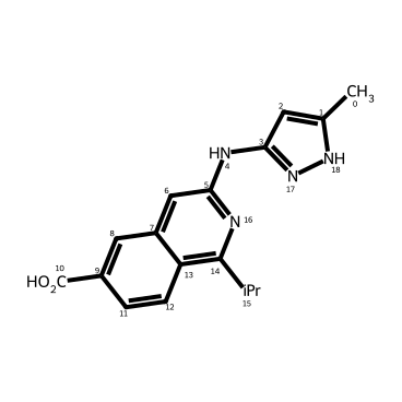 Cc1cc(Nc2cc3cc(C(=O)O)ccc3c(C(C)C)n2)n[nH]1